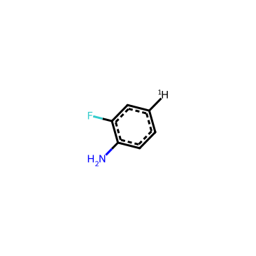 [1H]c1ccc(N)c(F)c1